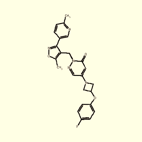 Cc1ccc(-c2noc(C)c2Cn2ncc(N3CC(Oc4ccc(F)cc4)C3)cc2=O)cn1